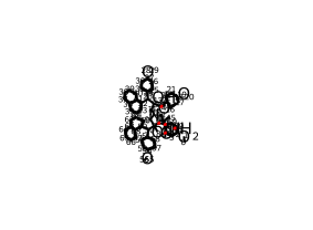 COc1ccc(CC(O)(CN(CC(O)(Cc2ccc(OC)cc2)C(c2ccc(OC)cc2)c2cccc3ccccc23)C(=O)C(C)(C)C(N)=O)C(c2ccc(OC)cc2)c2cccc3ccccc23)cc1